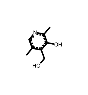 Cc1cnc(C)c(O)c1CO